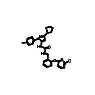 Cc1ccc(-n2nc(C3CCCC3)cc2NC(=O)NCc2ccccc2Oc2ccnc(Cl)n2)cc1